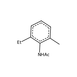 CCc1cccc(C)c1NC(C)=O